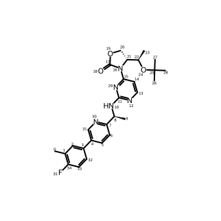 Cc1cc(-c2ccc([C@H](C)Nc3nccc(N4C(=O)OC[C@@H]4[C@@H](C)OC(C)(C)C)n3)nc2)ccc1F